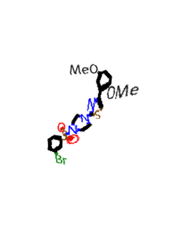 COc1ccc(OC)c(-c2csc(N3CCN(S(=O)(=O)c4cccc(Br)c4)CC3)n2)c1